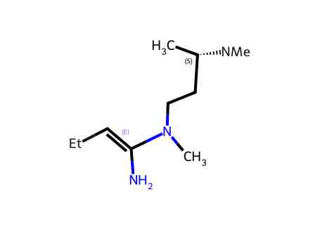 CC/C=C(\N)N(C)CC[C@H](C)NC